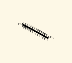 CC(F)C(F)(F)C(F)(F)C(F)(F)C(F)(F)C(F)(F)C(F)(F)C(F)(F)C(F)(F)C(F)(F)C(F)(F)C(F)(F)C(F)(F)C(F)(F)C(O)(F)F